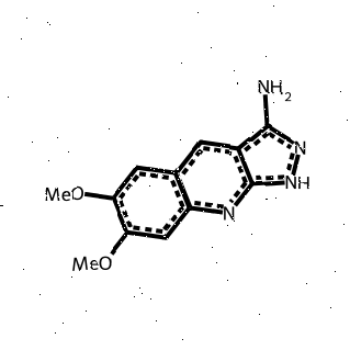 COc1cc2cc3c(N)n[nH]c3nc2cc1OC